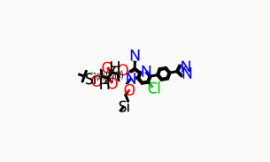 Cn1cc(-c2ccc(-c3nc4c(C#N)c(O[C@@H]5CO[C@H]6[C@@H]5OC[C@H]6O[Si](C)(C)C(C)(C)C)n(COCC[Si](C)(C)C)c4cc3Cl)cc2)cn1